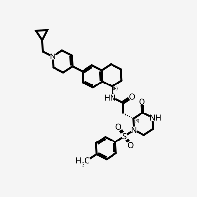 Cc1ccc(S(=O)(=O)N2CCNC(=O)[C@H]2CC(=O)N[C@@H]2CCCc3cc(C4=CCN(CC5CC5)CC4)ccc32)cc1